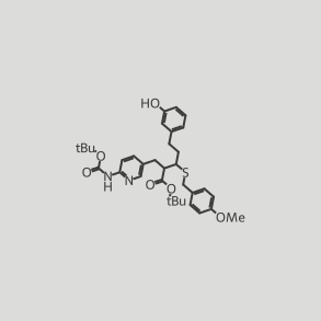 COc1ccc(CSC(CCc2cccc(O)c2)C(Cc2ccc(NC(=O)OC(C)(C)C)nc2)C(=O)OC(C)(C)C)cc1